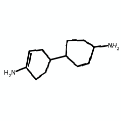 NC1=CCC(C2CCC(N)CC2)CC1